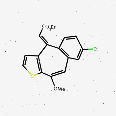 CCOC(=O)C=C1c2ccc(Cl)cc2C=C(OC)c2sccc21